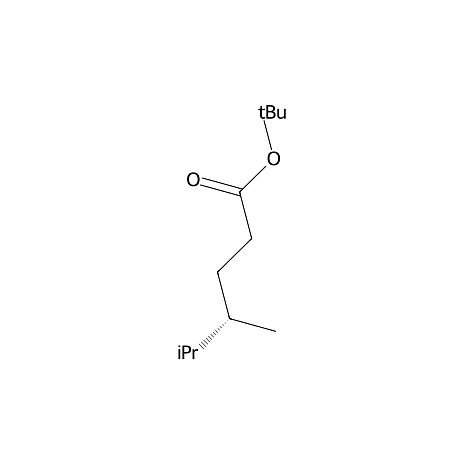 CC(C)[C@@H](C)CCC(=O)OC(C)(C)C